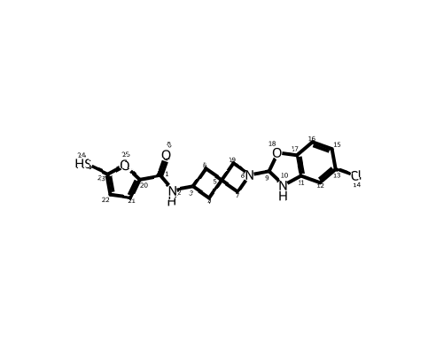 O=C(NC1CC2(C1)CN(C1Nc3cc(Cl)ccc3O1)C2)c1ccc(S)o1